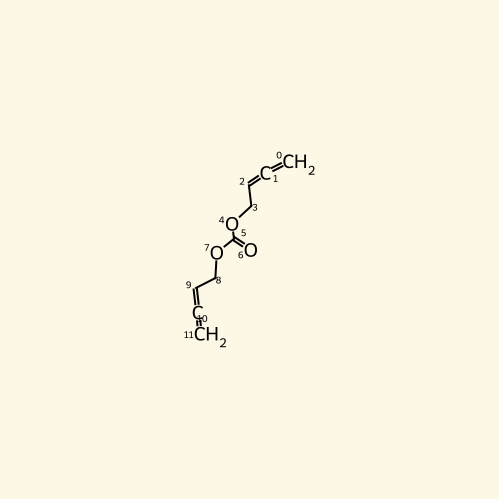 C=C=CCOC(=O)OCC=C=C